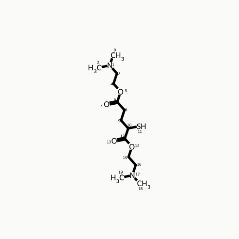 CN(C)CCOC(=O)CCC(S)C(=O)OCCN(C)C